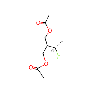 CC(=O)OCC(COC(C)=O)[C@H](C)F